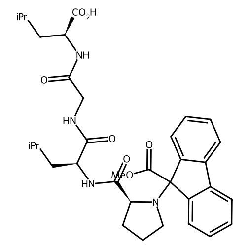 COC(=O)C1(N2CCC[C@H]2C(=O)N[C@@H](CC(C)C)C(=O)NCC(=O)N[C@@H](CC(C)C)C(=O)O)c2ccccc2-c2ccccc21